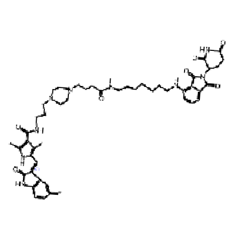 Cc1[nH]c(/C=C2\C(=O)Nc3ccc(F)cc32)c(C)c1C(=O)NCCCN1CCN(CCCC(=O)NCCCCCCCNc2cccc3c2C(=O)N(C2CCC(=O)NC2=O)C3=O)CC1